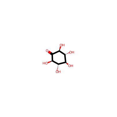 O=C1[C@@H](O)[C@H](O)[C@@H](O)[C@H](O)[C@H]1O